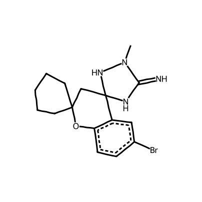 CN1NC2(CC3(CCCCC3)Oc3ccc(Br)cc32)NC1=N